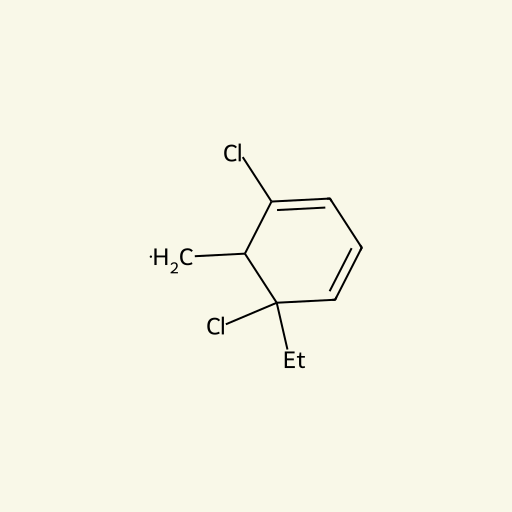 [CH2]C1C(Cl)=CC=CC1(Cl)CC